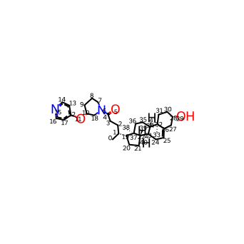 CC(CCC(=O)N1CCCC(Oc2ccncc2)C1)[C@H]1CC[C@H]2[C@@H]3CC=C4C[C@@H](O)CC[C@]4(C)[C@H]3CC[C@]12C